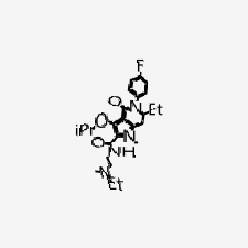 CCc1cc2c(c(OC(C)C)c(C(=O)NCCN(C)CC)n2C)c(=O)n1-c1ccc(F)cc1